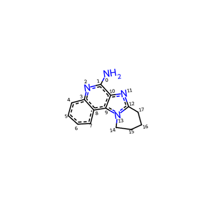 Nc1nc2ccccc2c2c1nc1n2CCCC1